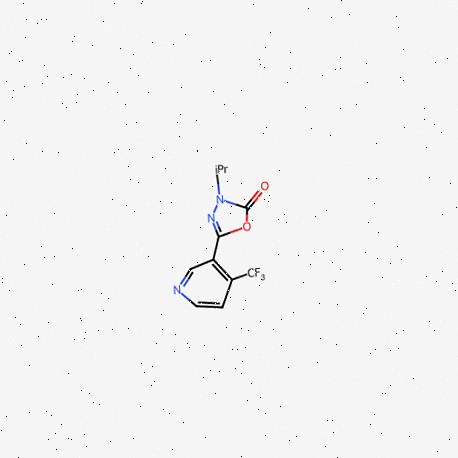 CC(C)n1nc(-c2cnccc2C(F)(F)F)oc1=O